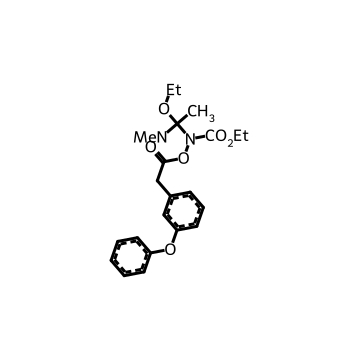 CCOC(=O)N(OC(=O)Cc1cccc(Oc2ccccc2)c1)C(C)(NC)OCC